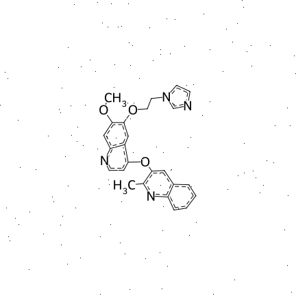 COc1cc2nccc(Oc3cc4ccccc4nc3C)c2cc1OCCn1ccnc1